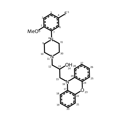 COc1ccc(F)cc1N1CCN(CC(O)CN2c3ccccc3Oc3ccccc32)CC1